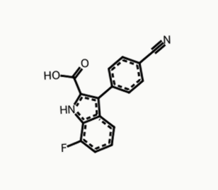 N#Cc1ccc(-c2c(C(=O)O)[nH]c3c(F)cccc23)cc1